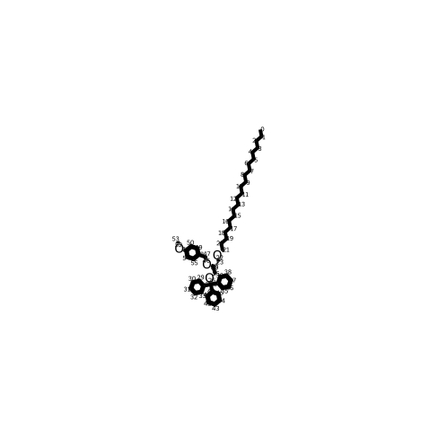 CCCCCCCCCCCCCCCCCCCCCCOC[C@H](COC(c1ccccc1)(c1ccccc1)c1ccccc1)OCc1ccc(OC)cc1